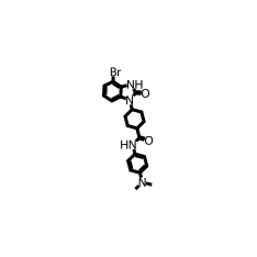 CN(C)c1ccc(NC(=O)C2CCC(n3c(=O)[nH]c4c(Br)cccc43)CC2)cc1